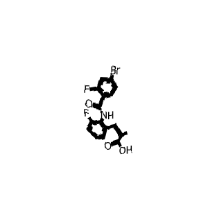 CC(=Cc1cccc(F)c1NC(=O)c1ccc(Br)cc1F)C(=O)O